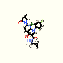 CC1CC(=O)N(c2ccc3c(=O)c(C(=O)N[C@@H](C4CC4)C(F)(F)F)cn(-c4c(F)cc(F)cc4Cl)c3n2)C1